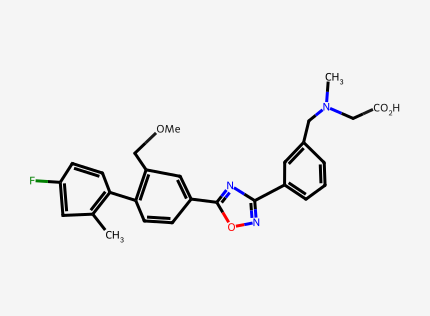 COCc1cc(-c2nc(-c3cccc(CN(C)CC(=O)O)c3)no2)ccc1-c1ccc(F)cc1C